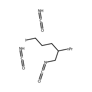 CCCC(CCCI)CN=C=O.N=C=O.N=C=O